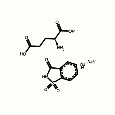 N[C@@H](CCC(=O)O)C(=O)O.O=C1NS(=O)(=O)c2ccccc21.[NaH].[NaH]